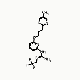 Cc1cnc(CCCSc2cccc(NC(N)=NCC(F)(F)F)n2)nc1